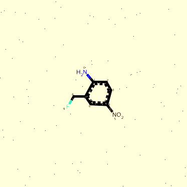 Nc1ccc([N+](=O)[O-])cc1CF